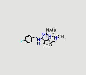 CNc1nc(/C=C\N(C)C)c(C=O)c(NCc2ccc(F)cc2)n1